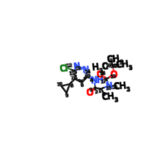 CC(C(=O)Nc1cc(C2CC2)c(Cl)nn1)N(C)C(=O)OC(C)(C)C